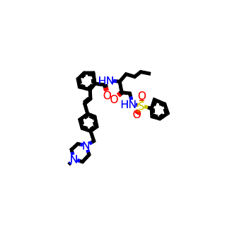 CCCCC(NC(=O)c1ccccc1C=Cc1ccc(CN2CCN(C)CC2)cc1)C(=O)CNS(=O)(=O)c1ccccc1